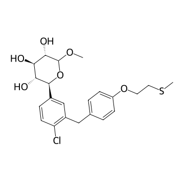 COC1O[C@@H](c2ccc(Cl)c(Cc3ccc(OCCSC)cc3)c2)[C@H](O)[C@@H](O)[C@@H]1O